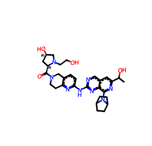 CC(O)c1cc2cnc(Nc3ccc4c(n3)CCN(C(=O)[C@H]3C[C@@H](O)CN3CCO)C4)nc2c(N2C3CCC2CC3)n1